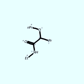 CCCOC(C(=O)NCC)C(C)C